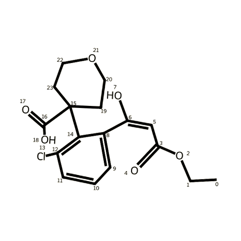 CCOC(=O)/C=C(/O)c1cccc(Cl)c1C1(C(=O)O)CCOCC1